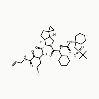 C=CCNC(=O)C(=O)C(CCC)NC(=O)[C@@H]1[C@H]2CCC3(CC3)[C@H]2CN1C(=O)[C@@H](NC(=O)NC1(CS(=O)(=O)C(C)(C)C)CCCCC1)C1CCCCC1